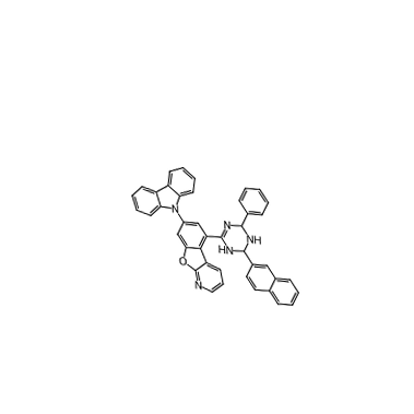 c1ccc(C2N=C(c3cc(-n4c5ccccc5c5ccccc54)cc4oc5ncccc5c34)NC(c3ccc4ccccc4c3)N2)cc1